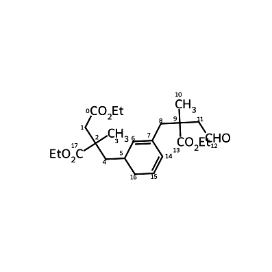 CCOC(=O)CC(C)(CC1C=C(CC(C)(CC=O)C(=O)OCC)C=CC1)C(=O)OCC